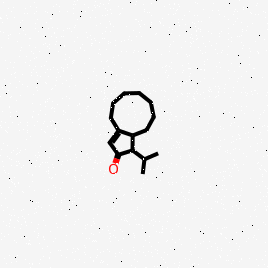 CC(C)C1C(=O)C=C2CCCCCCCC21